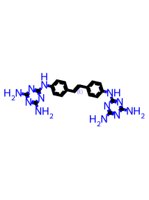 Nc1nc(N)nc(Nc2ccc(/C=C/c3ccc(Nc4nc(N)nc(N)n4)cc3)cc2)n1